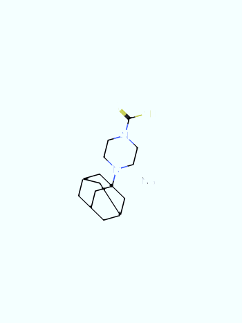 S=C(S)N1CCN(C23CC4CC(CC(C4)C2)C3)CC1.[NaH]